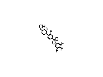 CCC1CCC(c2ccc(C(=O)Oc3cc(F)c(F)c(F)c3)cc2F)CC1